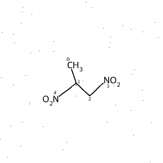 C[C](C[N+](=O)[O-])[N+](=O)[O-]